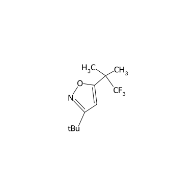 CC(C)(C)c1cc(C(C)(C)C(F)(F)F)on1